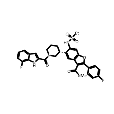 CCS(=O)(=O)Nc1cc2oc(-c3ccc(F)cc3)c(C(=O)NC)c2cc1[C@H]1CCCN(C(=O)c2cc3cccc(F)c3[nH]2)C1